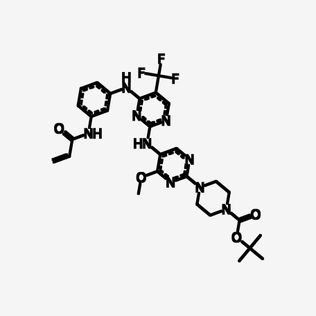 C=CC(=O)Nc1cccc(Nc2nc(Nc3cnc(N4CCN(C(=O)OC(C)(C)C)CC4)nc3OC)ncc2C(F)(F)F)c1